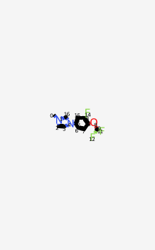 CN1C=CN(c2ccc(OC(F)F)c(F)c2)C1